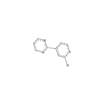 Clc1cc(-c2ncccn2)ccn1